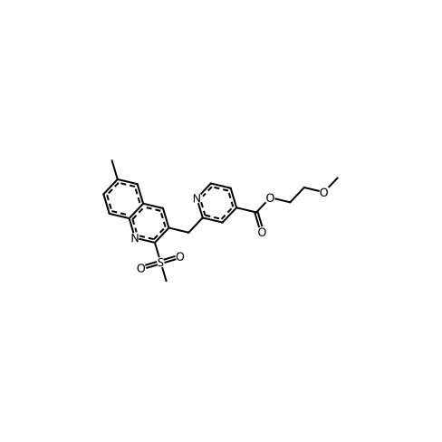 COCCOC(=O)c1ccnc(Cc2cc3cc(C)ccc3nc2S(C)(=O)=O)c1